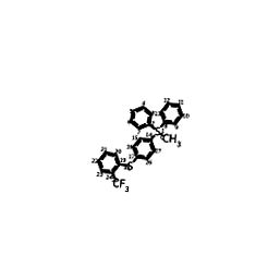 CS(c1ccccc1)(c1ccccc1)c1ccc(Sc2ccccc2C(F)(F)F)cc1